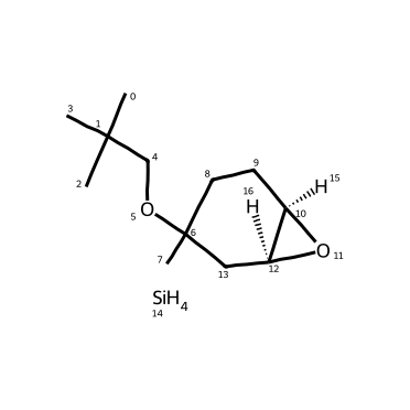 CC(C)(C)COC1(C)CC[C@H]2O[C@H]2C1.[SiH4]